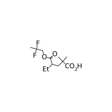 CCC(CC(C)(C)C(=O)O)C(=O)OCC(C)(F)F